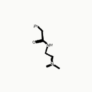 CC(C)CC(=O)NCCN(C)C